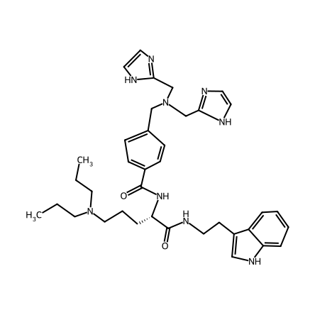 CCCN(CCC)CCC[C@H](NC(=O)c1ccc(CN(Cc2ncc[nH]2)Cc2ncc[nH]2)cc1)C(=O)NCCc1c[nH]c2ccccc12